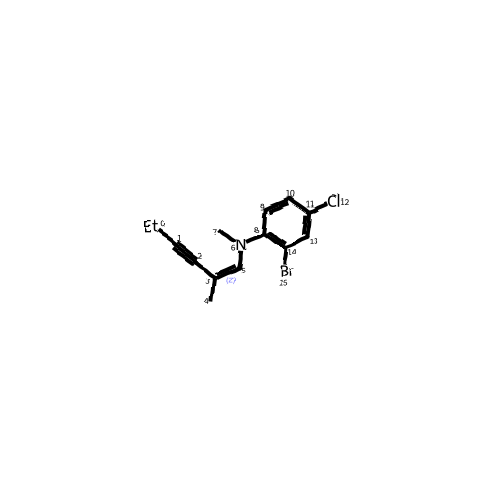 CCC#C/C(C)=C\N(C)c1ccc(Cl)cc1Br